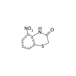 O=C1CSc2cccc([N+](=O)[O-])c2N1